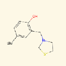 CC(C)(C)c1c[c]c(O)c(CN2CCSC2)c1